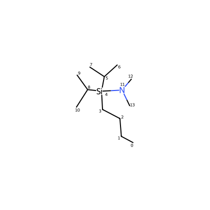 CCCC[Si](C(C)C)(C(C)C)N(C)C